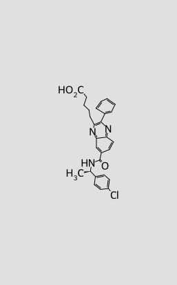 C[C@@H](NC(=O)c1ccc2nc(-c3ccccc3)c(CCCCC(=O)O)nc2c1)c1ccc(Cl)cc1